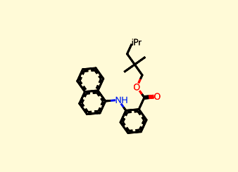 CC(C)CC(C)(C)COC(=O)c1ccccc1Nc1cccc2ccccc12